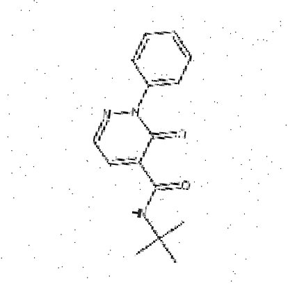 CC(C)(C)NC(=O)c1ccnn(-c2ccccc2)c1=O